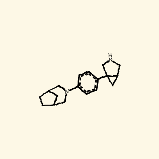 c1cc(C23CNCC2C3)ccc1N1CC2CCC(C2)C1